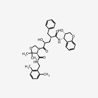 Cc1cccc(C)c1CNC(=O)[C@@H]1N(C(=O)[C@@H](O)C[C@@H](Cc2ccccc2)C(=O)N[C@H]2c3ccccc3OC[C@H]2O)COC1(C)C